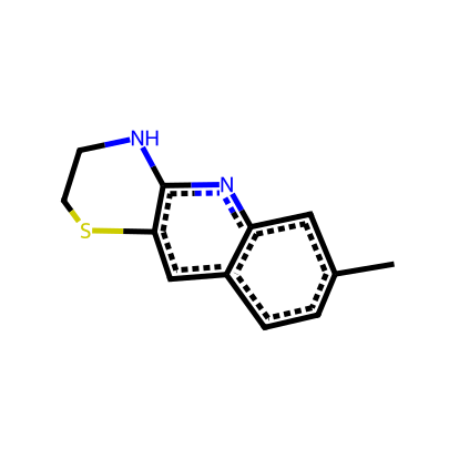 Cc1ccc2cc3c(nc2c1)NCCS3